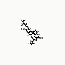 C=C(C)C(=O)NCCN(Cc1ccc(Cn2c(-c3ncco3)nc3c(N)nc4ccccc4c32)cc1)C(=O)O